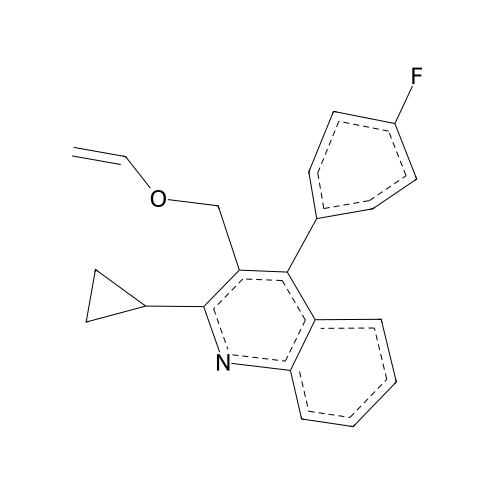 C=COCc1c(C2CC2)nc2ccccc2c1-c1ccc(F)cc1